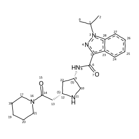 CC(C)n1nc(C(=O)N[C@@H]2CN[C@H](CC(=O)N3CCCCC3)C2)c2ccccc21